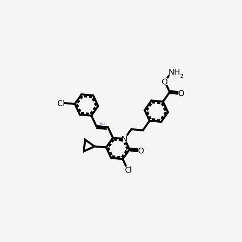 NOC(=O)c1ccc(CCn2c(/C=C/c3cccc(Cl)c3)c(C3CC3)cc(Cl)c2=O)cc1